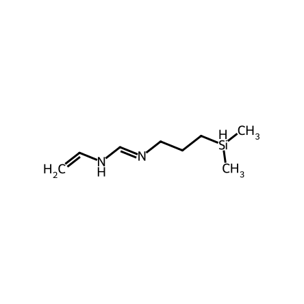 C=CN/C=N/CCC[SiH](C)C